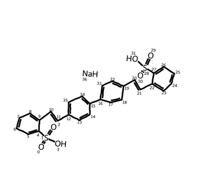 O=S(=O)(O)c1ccccc1/C=C/c1ccc(-c2ccc(/C=C/c3ccccc3S(=O)(=O)O)cc2)cc1.[NaH]